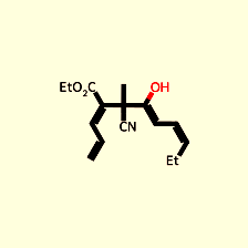 C=C/C=C(/C(=O)OCC)C(C)(C#N)/C(O)=C/C=C\CC